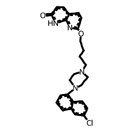 O=c1ccc2ccc(OCCCCN3CCN(c4cccc5cc(Cl)ccc45)CC3)nc2[nH]1